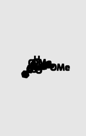 COCCOc1ccc(C(=O)Nc2sc3c(c2C(=O)OC)CCC(c2ccccc2)C3)cc1